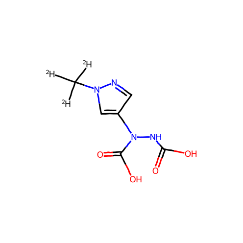 [2H]C([2H])([2H])n1cc(N(NC(=O)O)C(=O)O)cn1